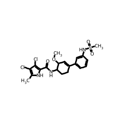 COC1C=C(c2cccc(NS(C)(=O)=O)c2)CCC1NC(=O)c1[nH]c(C)c(Cl)c1Cl